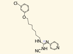 N#CN/C(=N\c1ccncc1)NCCCCCCCOc1cccc(Cl)c1